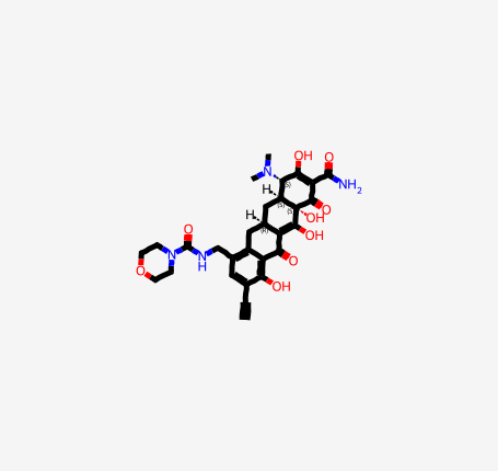 C#Cc1cc(CNC(=O)N2CCOCC2)c2c(c1O)C(=O)C1=C(O)[C@]3(O)C(=O)C(C(N)=O)=C(O)[C@@H](N(C)C)[C@@H]3C[C@@H]1C2